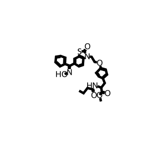 CCCC(=O)NC(Cc1ccc(OCCn2c(=O)sc3cc(/C(=N/O)c4ccccc4)ccc32)cc1)C(=O)OC